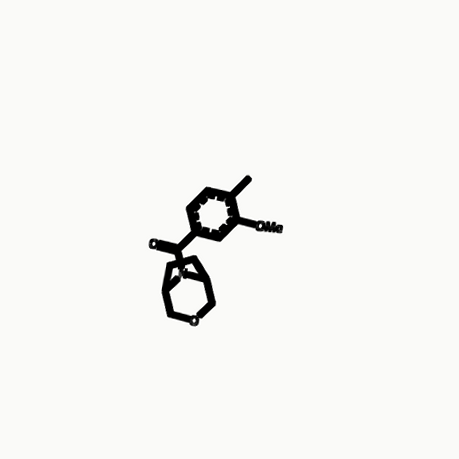 COc1cc(C(=O)N2C3CCC2COC3)ccc1C